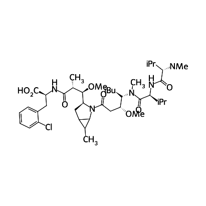 CC[C@H](C)[C@@H]([C@@H](CC(=O)N1C2C(C)C2C[C@H]1[C@H](OC)[C@@H](C)C(=O)N[C@@H](Cc1ccccc1Cl)C(=O)O)OC)N(C)C(=O)[C@@H](NC(=O)[C@@H](NC)C(C)C)C(C)C